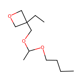 CCCCOC(C)OCC1(CC)COC1